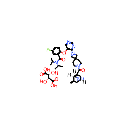 C=C1C[C@@H]2CC[C@H]1[C@@H](C(=O)N1CCC3(CC1)CN(c1ncncc1Oc1ccc(F)cc1C(=O)N(C(C)C)C(C)C)C3)N2.O=C(O)[C@H](O)[C@@H](O)C(=O)O